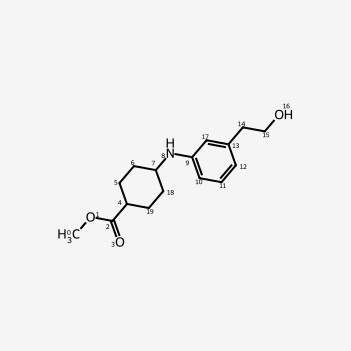 COC(=O)C1CCC(Nc2cccc(CCO)c2)CC1